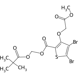 COC(=O)COc1c(C(=O)OCOC(=O)C(C)(C)C)sc(Br)c1Br